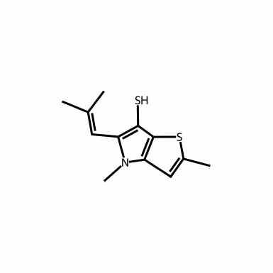 CC(C)=Cc1c(S)c2sc(C)cc2n1C